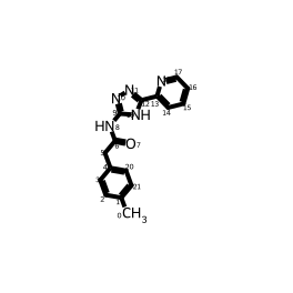 Cc1ccc(CC(=O)Nc2nnc(-c3ccccn3)[nH]2)cc1